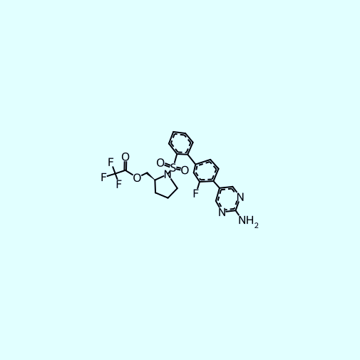 Nc1ncc(-c2ccc(-c3ccccc3S(=O)(=O)N3CCC[C@H]3COC(=O)C(F)(F)F)cc2F)cn1